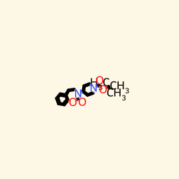 CC(C)(C)OC(=O)N1CCC(N2CCc3ccccc3OC2=O)CC1